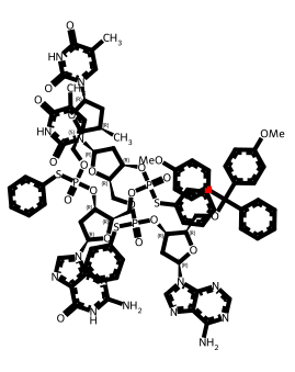 COc1ccc(C(OC[C@H]2O[C@@H](n3cnc4c(N)ncnc43)C[C@H]2OP(=O)(OC[C@H]2O[C@@H](n3cc(C)c(=O)[nH]c3=O)C[C@H]2OP(=O)(OC[C@H]2O[C@@H](n3cnc4c(=O)[nH]c(N)nc43)C[C@H]2OP(=O)(OC[C@H]2O[C@@H](n3cc(C)c(=O)[nH]c3=O)C[C@H]2C)Sc2ccccc2)Sc2ccccc2)Sc2ccccc2)(c2ccccc2)c2ccc(OC)cc2)cc1